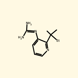 CCC(C)(C)c1ncccc1N=C(N)N